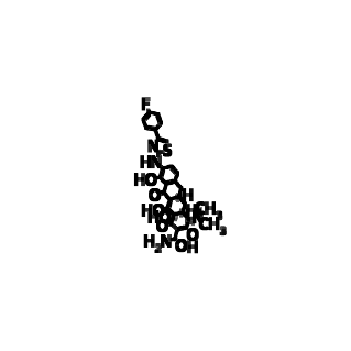 CN(C)[C@@H]1C(O)=C(C(N)=O)C(=O)[C@@]2(O)C(O)=C3C(=O)c4c(ccc(Nc5nc(-c6ccc(F)cc6)cs5)c4O)C[C@H]3C[C@@H]12